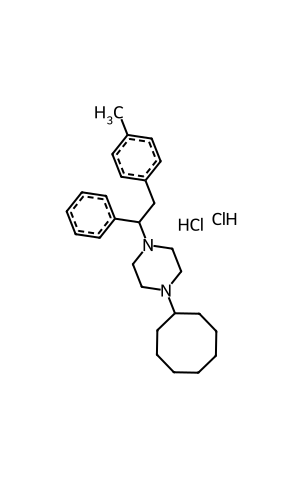 Cc1ccc(CC(c2ccccc2)N2CCN(C3CCCCCCC3)CC2)cc1.Cl.Cl